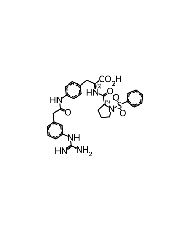 N=C(N)Nc1cccc(CC(=O)Nc2ccc(C[C@H](NC(=O)[C@@H]3CCCN3S(=O)(=O)c3ccccc3)C(=O)O)cc2)c1